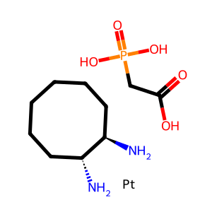 N[C@@H]1CCCCCC[C@H]1N.O=C(O)CP(=O)(O)O.[Pt]